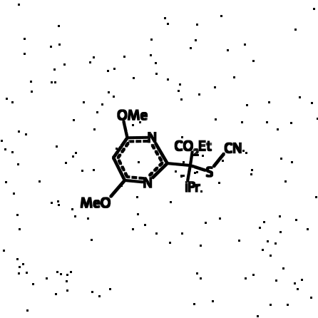 CCOC(=O)C(SC#N)(c1nc(OC)cc(OC)n1)C(C)C